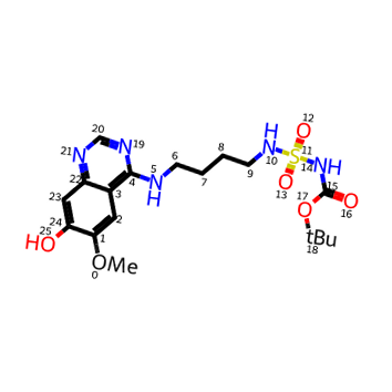 COc1cc2c(NCCCCNS(=O)(=O)NC(=O)OC(C)(C)C)ncnc2cc1O